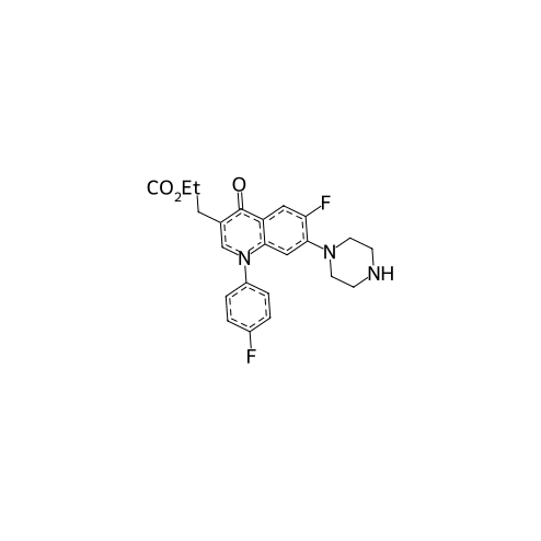 CCOC(=O)Cc1cn(-c2ccc(F)cc2)c2cc(N3CCNCC3)c(F)cc2c1=O